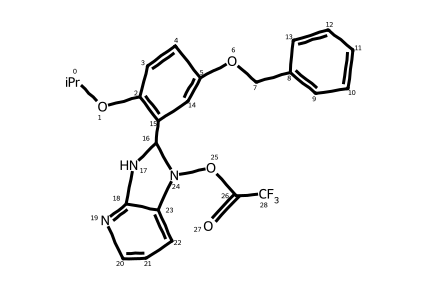 CC(C)Oc1ccc(OCc2ccccc2)cc1C1Nc2ncccc2N1OC(=O)C(F)(F)F